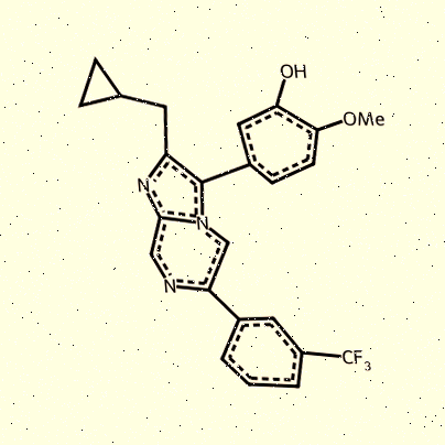 COc1ccc(-c2c(CC3CC3)nc3cnc(-c4cccc(C(F)(F)F)c4)cn23)cc1O